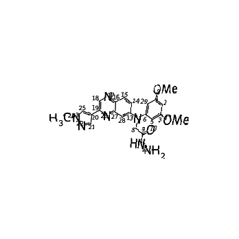 COc1cc(OC)cc(N(CC(=O)NN)c2ccc3ncc(-c4cnn(C)c4)nc3c2)c1